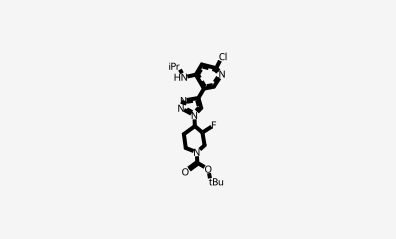 CC(C)Nc1cc(Cl)ncc1-c1cn(C2CCN(C(=O)OC(C)(C)C)CC2F)nn1